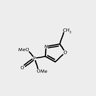 COP(=O)(OC)c1coc(C)n1